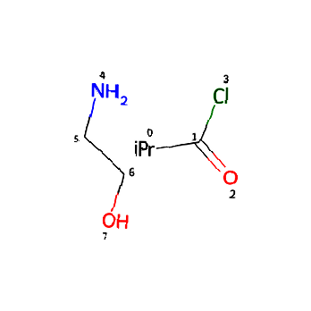 CC(C)C(=O)Cl.NCCO